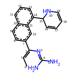 CC=C(N=C(N)N)c1ccc2cccc(C3C=CC=CN3)c2c1